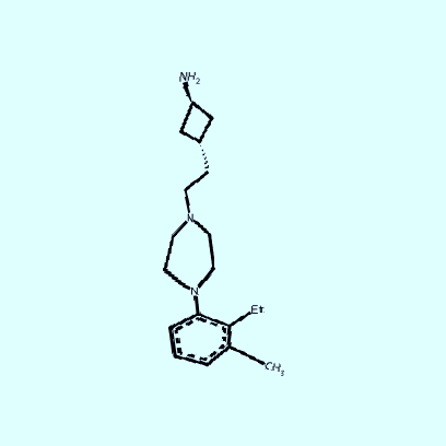 CCc1c(C)cccc1N1CCN(CC[C@H]2C[C@H](N)C2)CC1